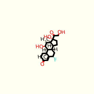 C[C@]12CCC(=O)C=C1[C@@H](F)C[C@@H]1[C@@H]2[C@@H](O)C[C@@]2(C)[C@H]1CC[C@]2(O)C(=O)CO